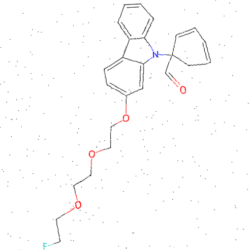 O=CC1(n2c3ccccc3c3ccc(OCCOCCOCCF)cc32)C=CC=CC1